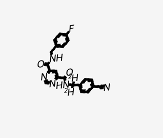 [2H]C([2H])(NC(=O)c1cc(C(=O)NCc2ccc(F)cc2)ncn1)c1ccc(C#N)cc1